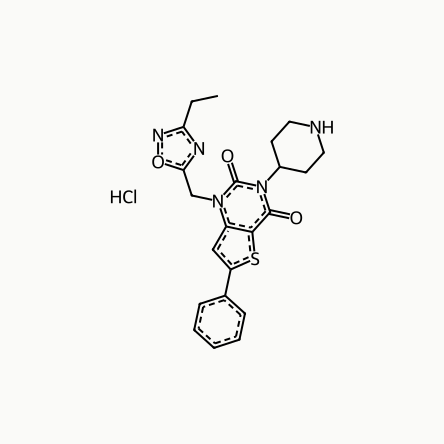 CCc1noc(Cn2c(=O)n(C3CCNCC3)c(=O)c3sc(-c4ccccc4)cc32)n1.Cl